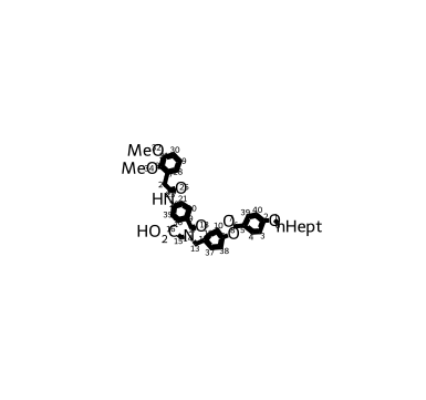 CCCCCCCOc1ccc(C(=O)Oc2ccc(CN(CC(=O)O)C(=O)c3ccc(NC(=O)Cc4cccc(OC)c4OC)cc3)cc2)cc1